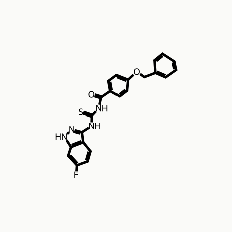 O=C(NC(=S)Nc1n[nH]c2cc(F)ccc12)c1ccc(OCc2ccccc2)cc1